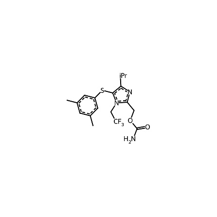 Cc1cc(C)cc(Sc2c(C(C)C)nc(COC(N)=O)n2CC(F)(F)F)c1